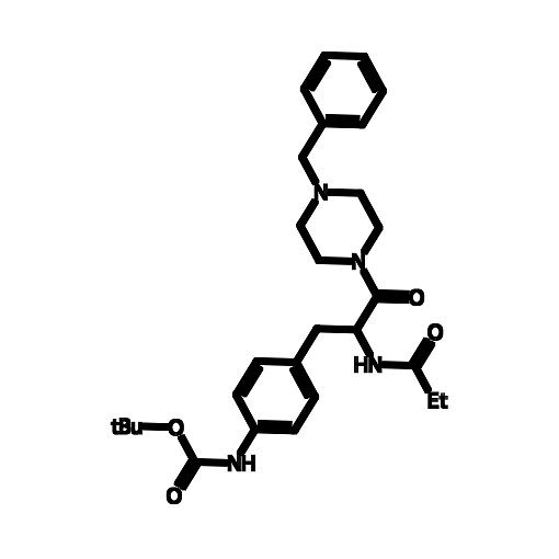 CCC(=O)NC(Cc1ccc(NC(=O)OC(C)(C)C)cc1)C(=O)N1CCN(Cc2ccccc2)CC1